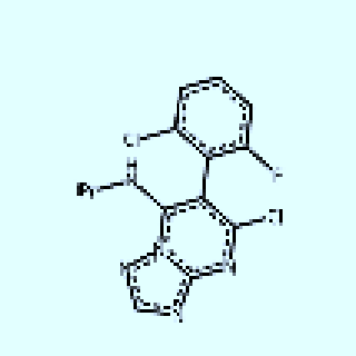 CC(C)Nc1c(-c2c(F)cccc2Cl)c(Cl)nc2ncnn12